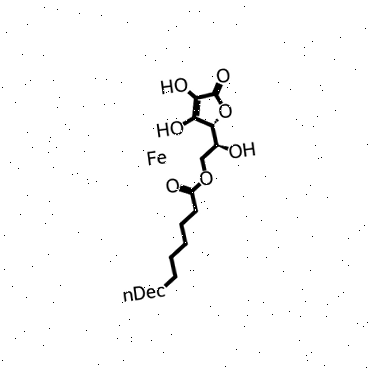 CCCCCCCCCCCCCCCC(=O)OC[C@H](O)[C@H]1OC(=O)C(O)=C1O.[Fe]